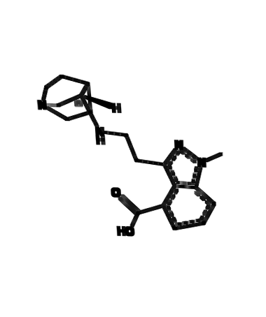 Cn1nc(CCN[C@@H]2CN3CCC2CC3)c2c(C(=O)O)cccc21